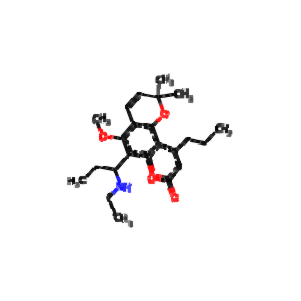 CCCc1cc(=O)oc2c(C(CC)NCC)c(OC)c3c(c12)OC(C)(C)C=C3